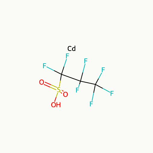 O=S(=O)(O)C(F)(F)C(F)(F)C(F)(F)F.[Cd]